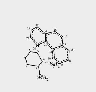 N[C@H]1CCCC[C@@H]1N.c1cnc2c(c1)ccc1cccnc12